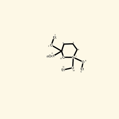 CCCCCCCCC1(OCC)CCC[Si](OCC)(OCC)O1